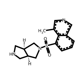 Cc1cncc2cccc(S(=O)(=O)N3C[C@H]4CNC[C@H]4C3)c12